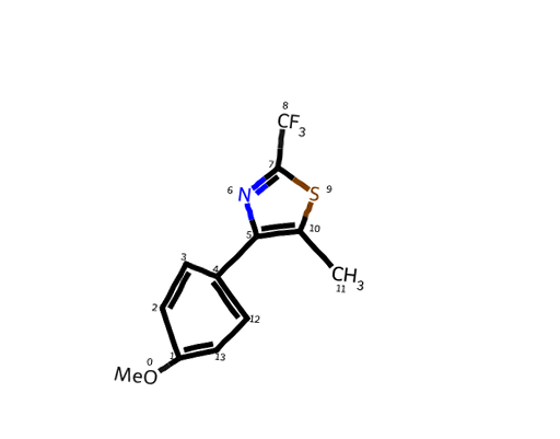 COc1ccc(-c2nc(C(F)(F)F)sc2C)cc1